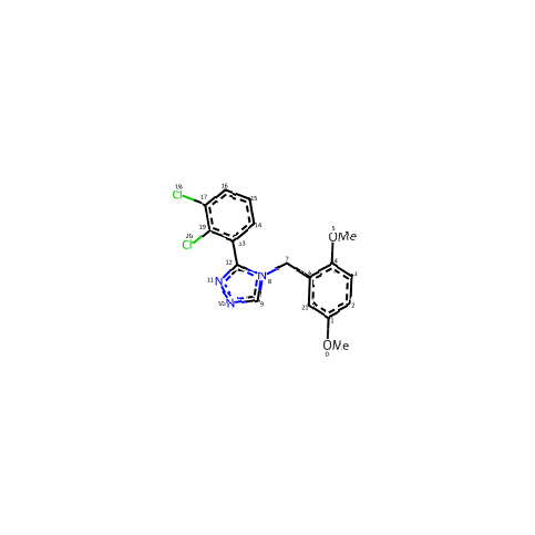 COc1ccc(OC)c(Cn2cnnc2-c2cccc(Cl)c2Cl)c1